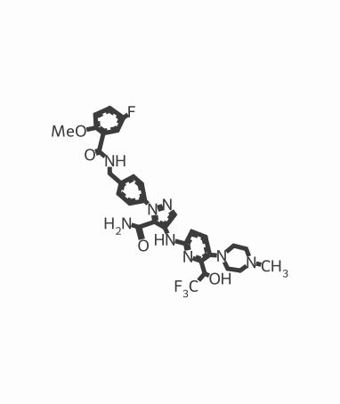 COc1ccc(F)cc1C(=O)NCc1ccc(-n2ncc(Nc3ccc(N4CCN(C)CC4)c(C(O)C(F)(F)F)n3)c2C(N)=O)cc1